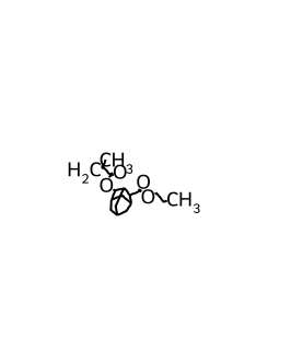 C=C(C)C(=O)OC1C2CC3CC(C2)C(C(=O)OCCC)C1C3